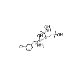 CC(C)(O)CC[C@H](C[C@H](O)[C@@H](N)Cc1cccc(Cl)c1)C(=O)NO